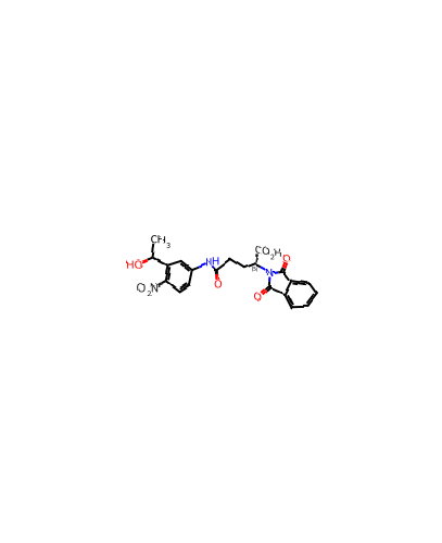 CC(O)c1cc(NC(=O)CC[C@@H](C(=O)O)N2C(=O)c3ccccc3C2=O)ccc1[N+](=O)[O-]